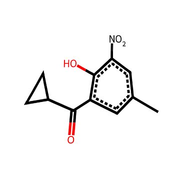 Cc1cc(C(=O)C2CC2)c(O)c([N+](=O)[O-])c1